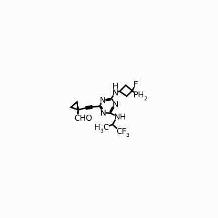 CC(Nc1nc(C#CC2(C=O)CC2)nc(NC2CC(F)(P)C2)n1)C(F)(F)F